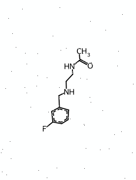 CC(=O)NCCNCc1cccc(F)c1